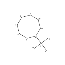 CC(C)(C)C1CC[CH]CCCC1